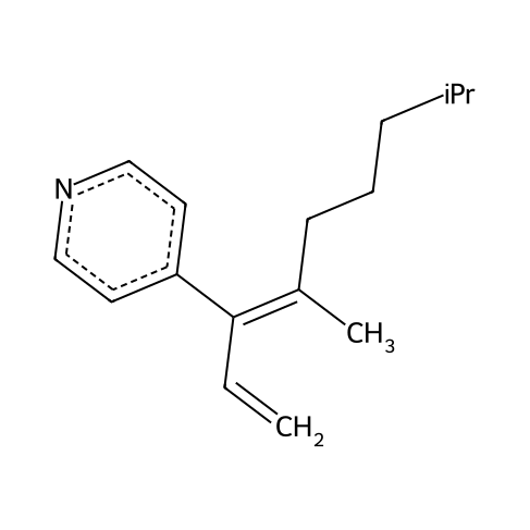 C=CC(=C(C)CCCC(C)C)c1ccncc1